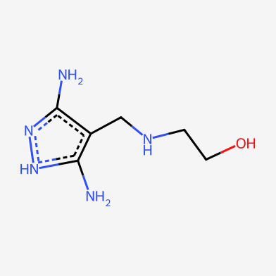 Nc1n[nH]c(N)c1CNCCO